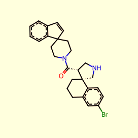 O=C([C@@H]1CNC[C@]12CCCc1cc(Br)ccc12)N1CCC2(C=Cc3ccccc32)CC1